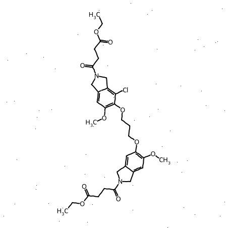 CCOC(=O)CCC(=O)N1Cc2cc(OC)c(OCCCOc3c(OC)cc4c(c3Cl)CN(C(=O)CCC(=O)OCC)C4)cc2C1